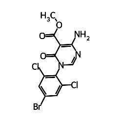 COC(=O)c1c(N)ncn(-c2c(Cl)cc(Br)cc2Cl)c1=O